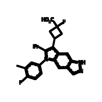 Cc1cc(-n2c(C(C)C)c(C3CC(F)(C(=O)O)C3)c3cc4[nH]ncc4cc32)ccc1F